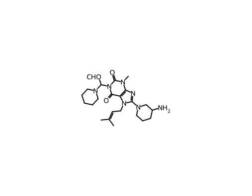 CC(C)=CCn1c(N2CCCC(N)C2)nc2c1c(=O)n(C(C=O)N1CCCCC1)c(=O)n2C